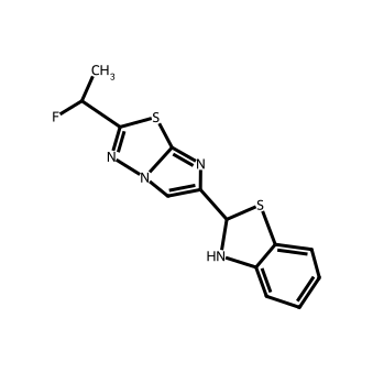 CC(F)c1nn2cc(C3Nc4ccccc4S3)nc2s1